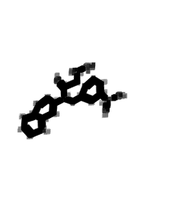 O=C(CNO)N(Cc1cccc([N+](=O)[O-])c1)c1ccc2cccnc2c1